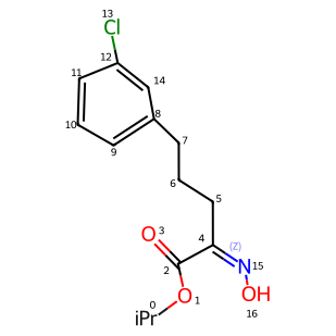 CC(C)OC(=O)/C(CCCc1cccc(Cl)c1)=N\O